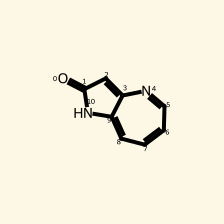 O=c1cc2nccccc-2[nH]1